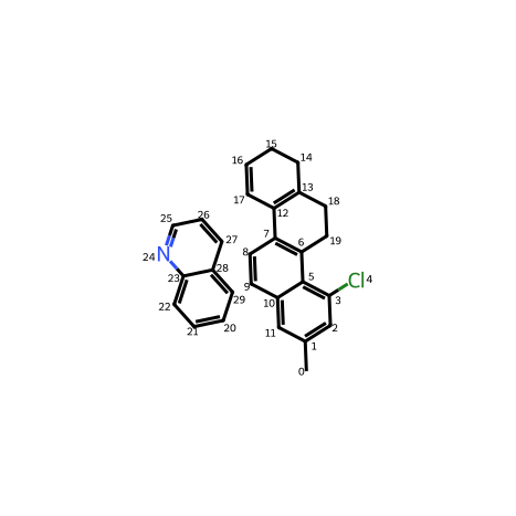 Cc1cc(Cl)c2c3c(ccc2c1)C1=C(CCC=C1)CC3.c1ccc2ncccc2c1